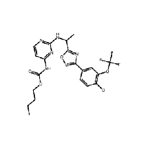 CCCCOC(=O)Nc1ccnc(NC(C)c2nc(-c3ccc(Cl)c(OC(F)(F)F)c3)no2)n1